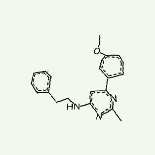 COc1cccc(-c2cc(NCCc3c[c]ccc3)nc(C)n2)c1